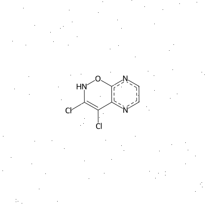 ClC1=C(Cl)c2nccnc2ON1